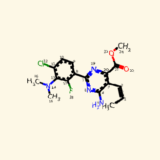 C/C=C\c1c(N)nc(-c2ccc(Cl)c(N(C)C)c2F)nc1C(=O)OC